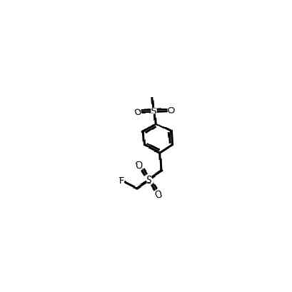 CS(=O)(=O)c1ccc(CS(=O)(=O)CF)cc1